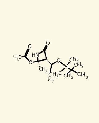 CC(=O)O[C@@]1(C)NC(=O)[C@@H]1C(C)O[Si](C)(C)C(C)(C)C